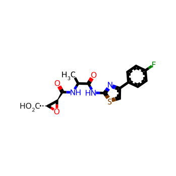 CC(NC(=O)[C@H]1O[C@@H]1C(=O)O)C(=O)Nc1nc(-c2ccc(F)cc2)cs1